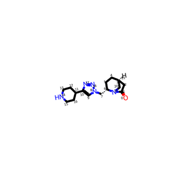 O=C1C[C@@H]2CC[C@@H](Cn3cc(C4CCNCC4)nn3)N1C2